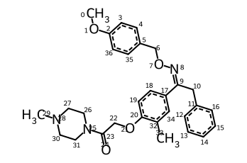 COc1ccc(CON=C(Cc2ccccc2)c2ccc(OCC(=O)N3CCN(C)CC3)c(C)c2)cc1